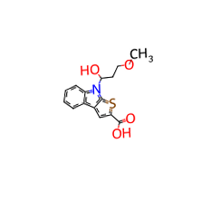 COCCC(O)n1c2ccccc2c2cc(C(=O)O)sc21